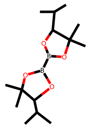 CC(C)C1OB(B2OC(C(C)C)C(C)(C)O2)OC1(C)C